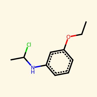 CCOc1cccc(NC(C)Cl)c1